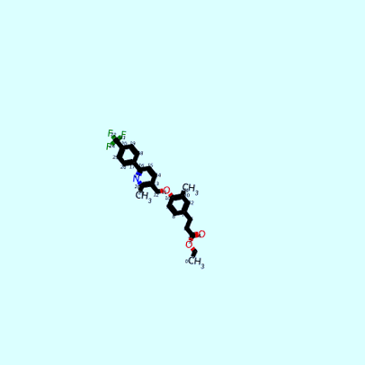 CCOC(=O)CCc1ccc(OCc2ccc(-c3ccc(C(F)(F)F)cc3)nc2C)c(C)c1